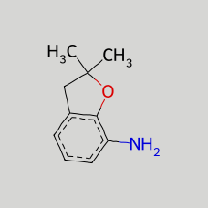 CC1(C)Cc2cccc(N)c2O1